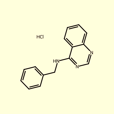 Cl.c1ccc(CNc2ncnc3ccccc23)cc1